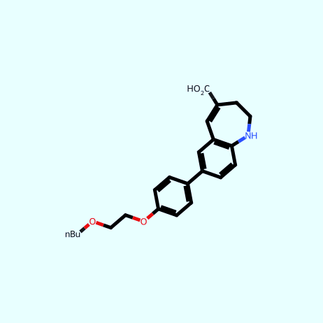 CCCCOCCOc1ccc(-c2ccc3c(c2)C=C(C(=O)O)CCN3)cc1